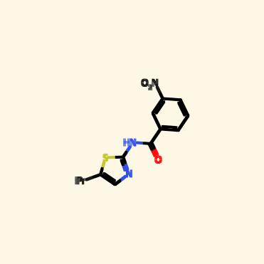 CC(C)c1cnc(NC(=O)c2cccc([N+](=O)[O-])c2)s1